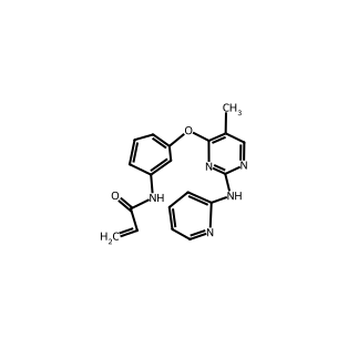 C=CC(=O)Nc1cccc(Oc2nc(Nc3ccccn3)ncc2C)c1